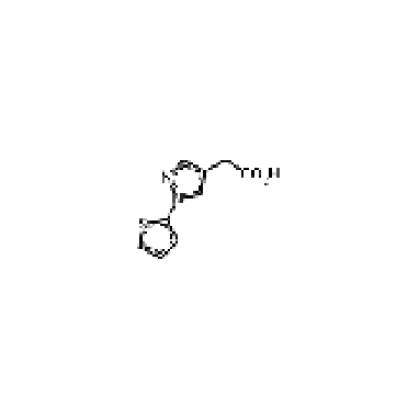 O=C(O)Cc1cnn(-c2cccs2)c1